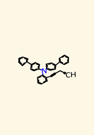 C#CCC#Cc1ccccc1N(c1ccc(-c2ccccc2)cc1)c1ccc(-c2ccccc2)cc1